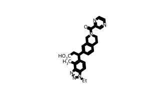 CCn1nnc2c(C)c(C(CC(=O)O)c3ccc4c(c3)CN(C(=O)c3cnccn3)CC4)ccc21